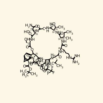 CC[C@H](C)[C@@H]1NC(=O)[C@@H](CCCNC(=N)N)NC(=O)[C@H](CC(C)C)NC(=O)[C@H]([C@H](OC(=O)C(F)(F)F)C(C)C)NC(=O)[C@@H](N(C(=O)[C@@H](N)CC(C)C)C(=O)C2(NC(=O)OC(C)(C)C)CC2)[C@@H](c2ccccc2)OC(=O)[C@H](CO)NC(=O)[C@H]([C@H](O)C(N)=O)NC(=O)CNC(=O)[C@H]([C@H](C)O)NC1=O